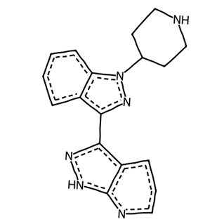 c1cnc2[nH]nc(-c3nn(C4CCNCC4)c4ccccc34)c2c1